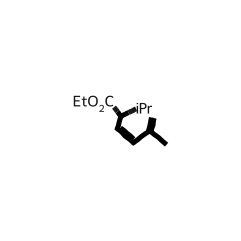 C=C(C)/C=C\C(C(=O)OCC)C(C)C